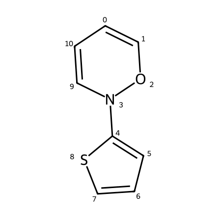 C1=CON(c2cccs2)C=C1